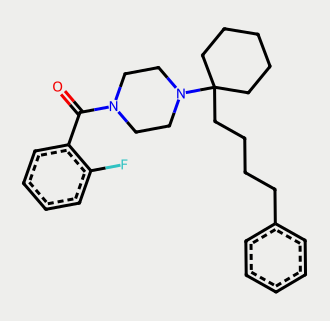 O=C(c1ccccc1F)N1CCN(C2(CCCCc3ccccc3)CCCCC2)CC1